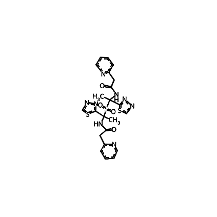 CC(NC(=O)Cc1ccccn1)(c1nncs1)S(=O)(=O)C(C)(NC(=O)Cc1ccccn1)c1nncs1